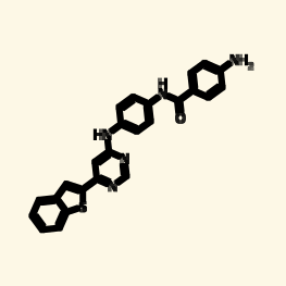 Nc1ccc(C(=O)Nc2ccc(Nc3cc(-c4cc5ccccc5s4)ncn3)cc2)cc1